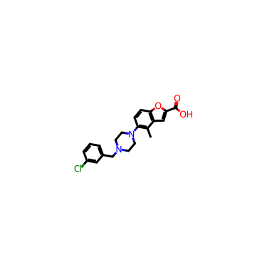 Cc1c(N2CCN(Cc3cccc(Cl)c3)CC2)ccc2oc(C(=O)O)cc12